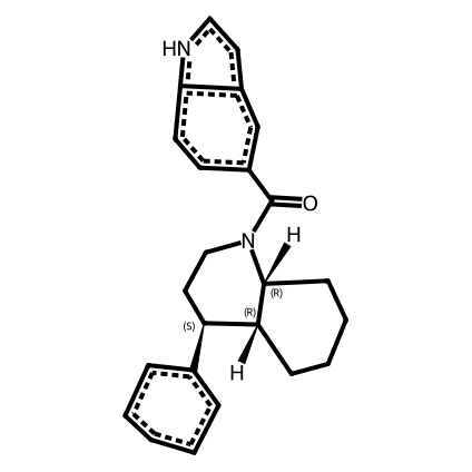 O=C(c1ccc2[nH]ccc2c1)N1CC[C@H](c2ccccc2)[C@H]2CCCC[C@H]21